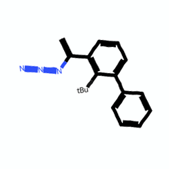 C=C(N=[N+]=[N-])c1cccc(-c2ccccc2)c1C(C)(C)C